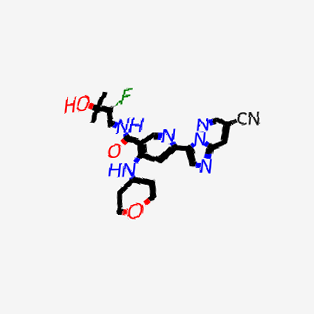 CC(C)(O)[C@H](F)CNC(=O)c1cnc(-c2cnc3cc(C#N)cnn23)cc1NC1CCOCC1